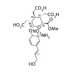 COC(=O)[C@H]1O[C@H](OC2C=CC(/C=C/CO)=CC2(N)[N+](=O)[O-])[C@H](CC(=O)O)[C@@H](CC(=O)O)[C@@H]1CC(=O)O